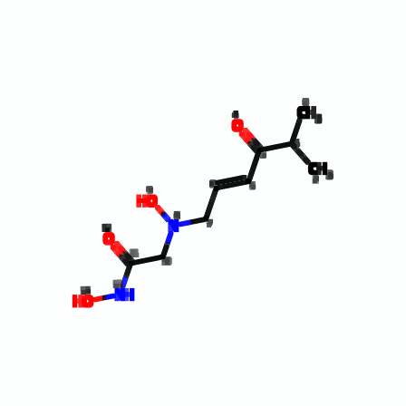 CC(C)C(=O)/C=C/CN(O)CC(=O)NO